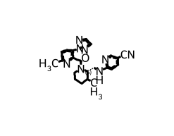 Cc1ccc(-n2nccn2)c(C(=O)N2CCCC(C)[C@H]2CNc2ccc(C#N)cn2)n1